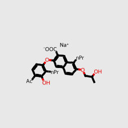 CCCc1c(Oc2cc3ccc(OCC(C)O)c(CCC)c3cc2C(=O)[O-])ccc(C(C)=O)c1O.[Na+]